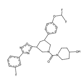 O=C(N1CCC(O)CC1)N1CC(c2ccc(OC(F)F)cc2)CC(c2nc(-c3cccc(F)c3)no2)C1